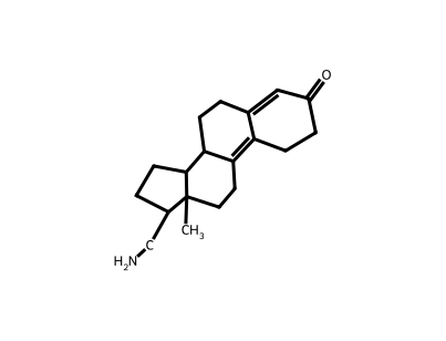 CC12CCC3=C4CCC(=O)C=C4CCC3C1CCC2CN